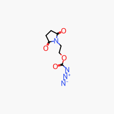 [N-]=[N+]=NC(=O)OCCN1C(=O)CCC1=O